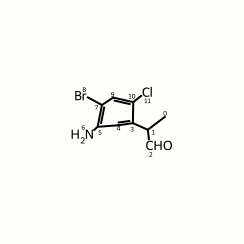 CC(C=O)c1cc(N)c(Br)cc1Cl